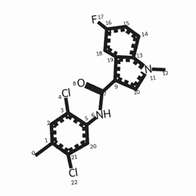 Cc1cc(Cl)c(NC(=O)c2cn(C)c3ccc(F)cc23)cc1Cl